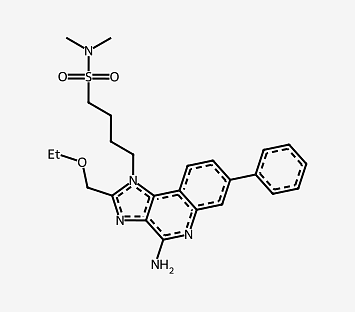 CCOCc1nc2c(N)nc3cc(-c4ccccc4)ccc3c2n1CCCCS(=O)(=O)N(C)C